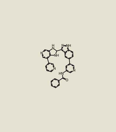 O=C(Nc1cncc(-c2ccc3[nH]nc(C4Nc5cncc(-c6cccnc6)c5N4)c3c2)c1)c1ccccc1